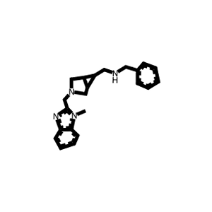 Cn1c(CN2CC3C(CNCc4ccccc4)C3C2)nc2ccccc21